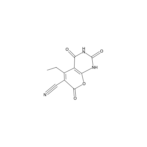 CCc1c(C#N)c(=O)oc2[nH]c(=O)[nH]c(=O)c12